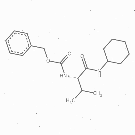 CC(C)[C@H](NC(=O)OCc1ccccc1)C(=O)NC1CCCCC1